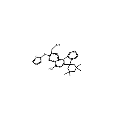 CC1(C)CC(C)(C)CC2(C1)c1ccccc1-c1c2cc(O)c2cc(Sc3cccs3)c(CS)cc12